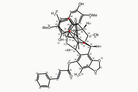 COc1cc2c(cc1O)CCN[C@]21CS[C@@H]2c3c(OC(=O)/C=C/c4ccccc4)c(C)c4c(c3[C@H](CCOC1=O)N1C2[C@H]2N[C@H](Cc3cc(C)c(OC)c(O)c32)[C@@H]1C#N)OCO4